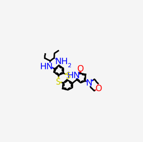 CCC(Nc1ccc2c(c1)Sc1cccc(-c3cc(N4CCOCC4)cc(=O)[nH]3)c1S2)[C@@H](N)CC